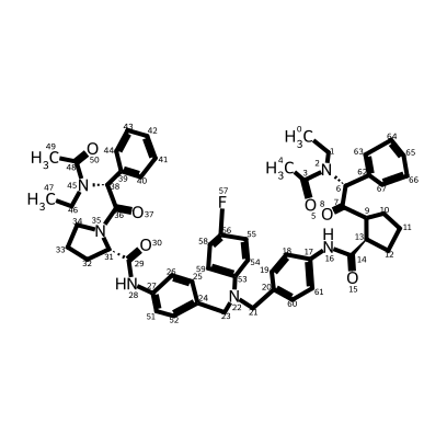 CCN(C(C)=O)[C@@H](C(=O)C1CCC[C@H]1C(=O)Nc1ccc(CN(Cc2ccc(NC(=O)[C@@H]3CCCN3C(=O)[C@@H](c3ccccc3)N(CC)C(C)=O)cc2)c2ccc(F)cc2)cc1)c1ccccc1